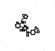 c1coc(CNc2ncccc2-c2nnc(Nc3ccc4c(c3)OCO4)[nH]2)c1